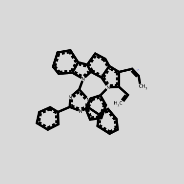 C=Cc1c(/C=C\C)c2ccc3c4ccccc4n(-c4nc(-c5ccccc5)nc(-c5ccccc5)n4)c3c2n1-c1ccccc1